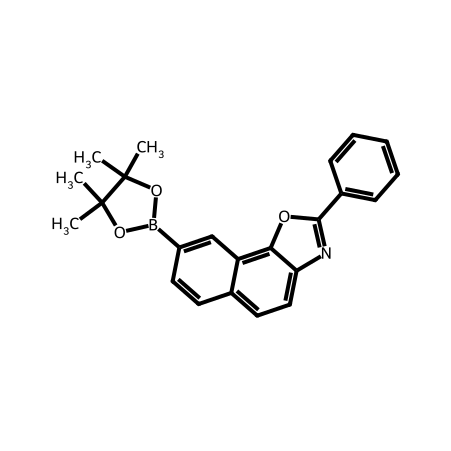 CC1(C)OB(c2ccc3ccc4nc(-c5ccccc5)oc4c3c2)OC1(C)C